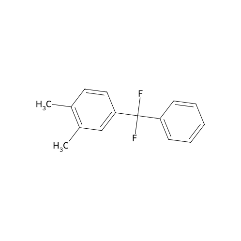 Cc1ccc(C(F)(F)c2ccccc2)cc1C